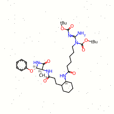 CC(C)(C)OC(=O)N=C(N)N(CCCCCC(=O)N[C@H]1CCCCC1CCC(=O)N[C@]1(C)C(=O)N[C@H]1Oc1ccccc1)C(=O)OC(C)(C)C